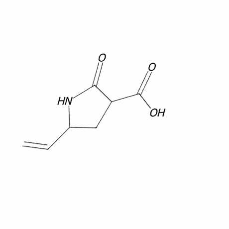 C=CC1CC(C(=O)O)C(=O)N1